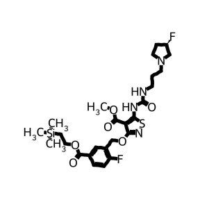 COC(=O)c1c(OCc2cc(C(=O)OCC[Si](C)(C)C)ccc2F)nsc1NC(=O)NCCCN1CC[C@H](F)C1